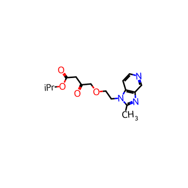 Cc1nc2cnccc2n1CCOCC(=O)CC(=O)OC(C)C